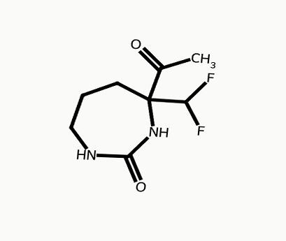 CC(=O)C1(C(F)F)CCCNC(=O)N1